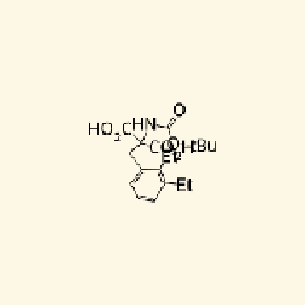 CCc1cccc(CC(NC(=O)OC(C)(C)C)(C(=O)O)C(=O)O)c1CC